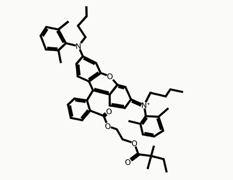 CCCCN(c1ccc2c(-c3ccccc3C(=O)OCCOC(=O)C(C)(C)CC)c3cc/c(=[N+](/CCCC)c4c(C)cccc4C)cc-3oc2c1)c1c(C)cccc1C